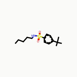 CCCCCNS(=O)(=O)c1ccc(C(C)(C)C)cc1